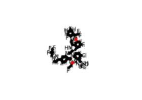 CS(=O)(=O)Nc1nn(CCCF)c2c(-n3c([C@H](Cc4cc(F)cc(F)c4)NC(=O)Cn4nc(C(F)F)c5c4C(F)(F)[C@@H]4C[C@H]54)nc4cc(-c5ccn(CC(F)(F)C(F)F)n5)ccc4c3=O)ccc(Cl)c12